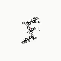 COc1ccc(C(C)(c2ccc(Oc3ccc(C(=O)c4cccc(S(=O)(=O)O)c4)cc3S(=O)(=O)O)cc2)c2ccc(Oc3ccc(C(=O)c4ccc(C)c(S(=O)(=O)O)c4)cc3S(=O)(=O)O)cc2)cc1